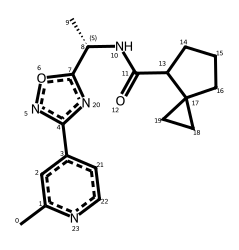 Cc1cc(-c2noc([C@H](C)NC(=O)C3CCCC34CC4)n2)ccn1